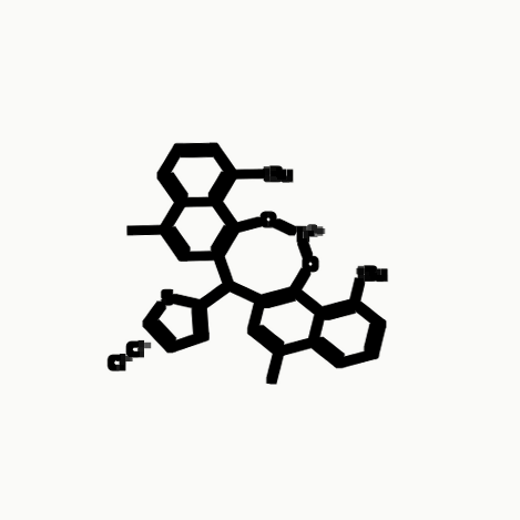 Cc1cc2c(c3c(C(C)(C)C)cccc13)[O][Ti+2][O]c1c(cc(C)c3cccc(C(C)(C)C)c13)C2c1cccs1.[Cl-].[Cl-]